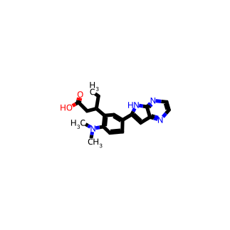 CCC(CC(=O)O)c1cc(-c2cc3nccnc3[nH]2)ccc1N(C)C